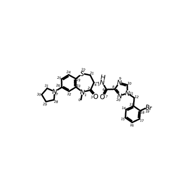 CN1C(=O)[C@@H](NC(=O)c2ncn(Cc3ccccc3Br)n2)CSc2ccc(N3CCCC3)cc21